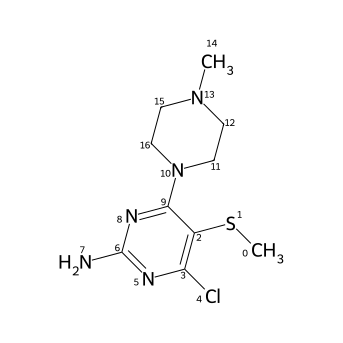 CSc1c(Cl)nc(N)nc1N1CCN(C)CC1